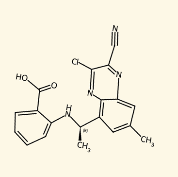 Cc1cc([C@@H](C)Nc2ccccc2C(=O)O)c2nc(Cl)c(C#N)nc2c1